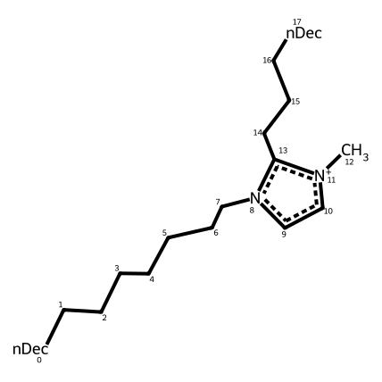 CCCCCCCCCCCCCCCCCn1cc[n+](C)c1CCCCCCCCCCCCC